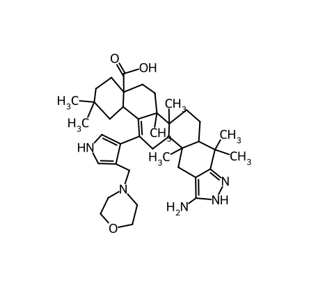 CC1(C)CCC2(C(=O)O)CCC3(C)C(=C(c4c[nH]cc4CN4CCOCC4)CC4C5(C)Cc6c(n[nH]c6N)C(C)(C)C5CCC43C)C2C1